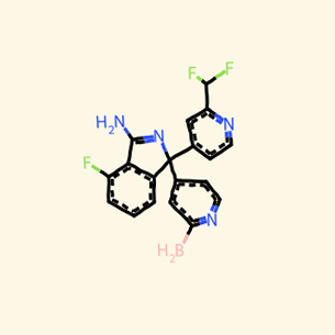 Bc1cc(C2(c3ccnc(C(F)F)c3)N=C(N)c3c(F)cccc32)ccn1